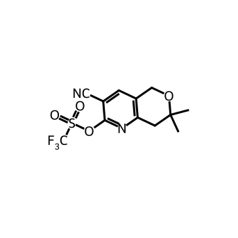 CC1(C)Cc2nc(OS(=O)(=O)C(F)(F)F)c(C#N)cc2CO1